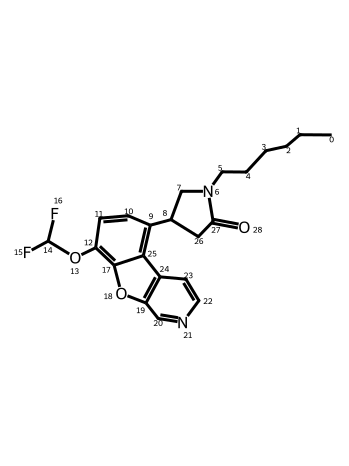 CCCCCCN1CC(c2ccc(OC(F)F)c3oc4cnccc4c23)CC1=O